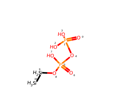 O=P(O)(O)OP(=O)(O)O[SiH2][SiH3]